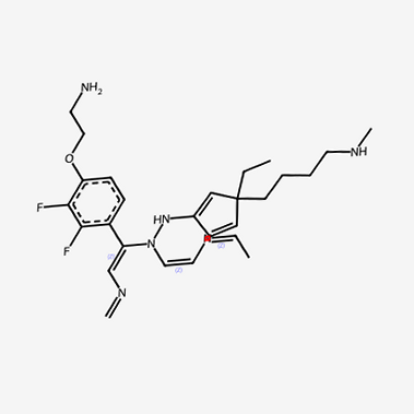 C=N/C=C(/c1ccc(OCCN)c(F)c1F)N(/C=C\N=C/C)NC1=CC(CC)(CCCCNC)C=C1